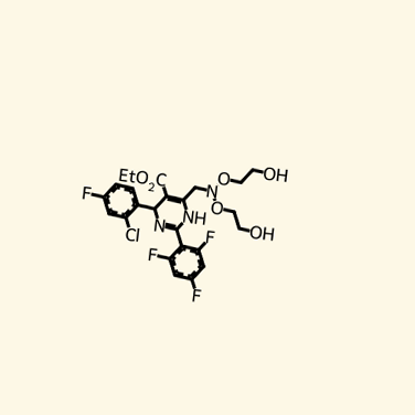 CCOC(=O)C1=C(CN(OCCO)OCCO)NC(c2c(F)cc(F)cc2F)=NC1c1ccc(F)cc1Cl